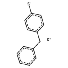 [K+].[S-]c1ccc(Cc2ccccc2)cc1